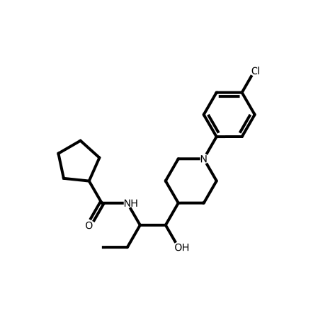 CCC(NC(=O)C1CCCC1)C(O)C1CCN(c2ccc(Cl)cc2)CC1